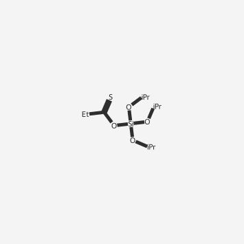 CCC(=S)O[Si](OC(C)C)(OC(C)C)OC(C)C